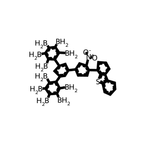 Bc1c(B)c(B)c(-c2cc(-c3ccc(-c4cccc5c4sc4ccccc45)c([N+](=O)[O-])c3)cc(-c3c(B)c(B)c(B)c(B)c3B)c2)c(B)c1B